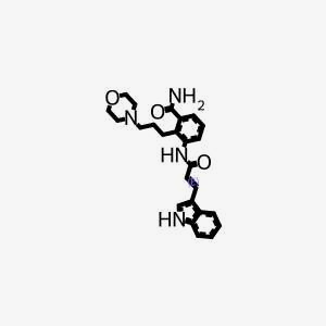 NC(=O)c1cccc(NC(=O)/C=C/c2c[nH]c3ccccc23)c1CCCN1CCOCC1